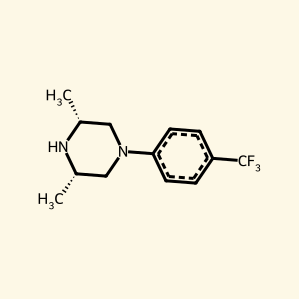 C[C@@H]1CN(c2ccc(C(F)(F)F)cc2)C[C@H](C)N1